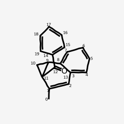 CC1=Cc2ccccc2C2CC12C(=O)c1ccccc1